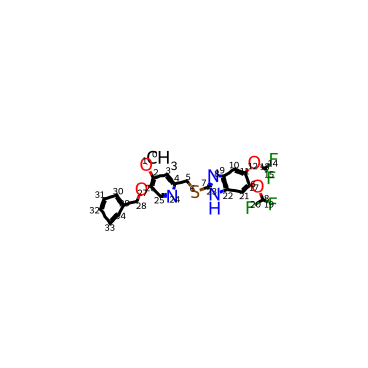 COc1cc(CSc2nc3cc(OC(F)F)c(OC(F)F)cc3[nH]2)ncc1OCc1ccccc1